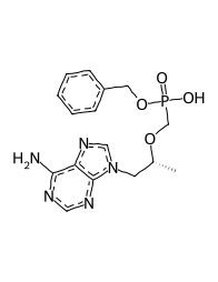 C[C@H](Cn1cnc2c(N)ncnc21)OCP(=O)(O)OCc1ccccc1